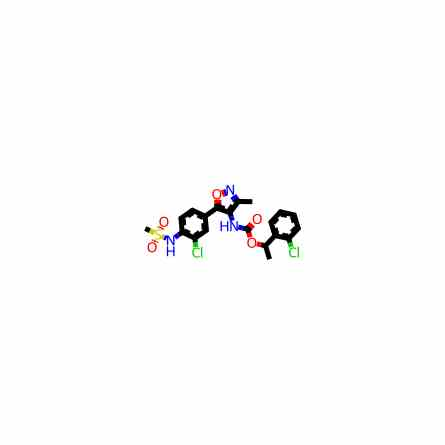 Cc1noc(-c2ccc(NS(C)(=O)=O)c(Cl)c2)c1NC(=O)OC(C)c1ccccc1Cl